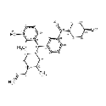 C=CCN1C[C@H](C)N([C@@H](c2cccc(O)c2)c2cccc(C(=O)N3CCC(=O)CC3)c2)CC1C